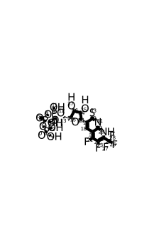 O=P(O)(O)OP(=O)(O)OP(=O)(O)OC[C@H]1O[C@@H](c2cc3c(F)c(F)c(C(F)(F)F)[nH]c-3nc2=S)C(O)[C@H]1O